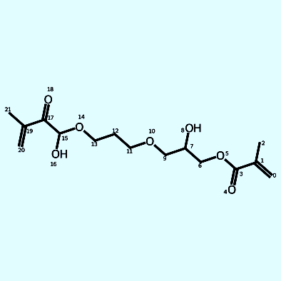 C=C(C)C(=O)OCC(O)COCCCOC(O)C(=O)C(=C)C